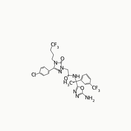 C[C@@](NC(=O)Cn1nc(-c2ccc(Cl)cc2)n(CCCC(F)(F)F)c1=O)(c1cccc(C(F)(F)F)c1)c1nnc(N)o1